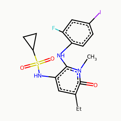 CCc1cc(NS(=O)(=O)C2CC2)c(Nc2ccc(I)cc2F)n(C)c1=O